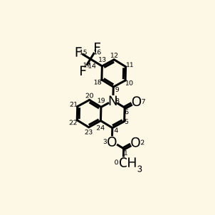 CC(=O)Oc1cc(=O)n(-c2cccc(C(F)(F)F)c2)c2ccccc12